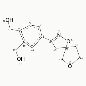 OCc1ccc(C2=NOC3(CCOC3)C2)cc1CO